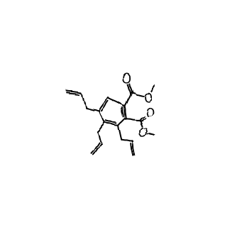 C=CCc1cc(C(=O)OC)c(C(=O)OC)c(CC=C)c1CC=C